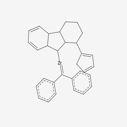 C1=CCC(C2CCCC3C4C=CC=CC4[CH]([Zr]=[C](c4ccccc4)c4ccccc4)C23)=C1